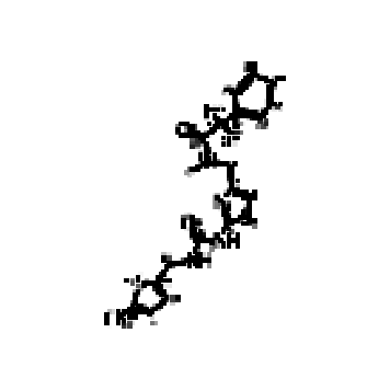 CN(Cc1csc(NC(=O)NCc2ccc(Cl)s2)n1)C(=O)C(F)(F)c1ccccc1